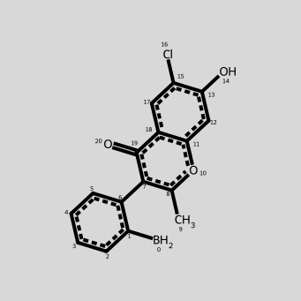 Bc1ccccc1-c1c(C)oc2cc(O)c(Cl)cc2c1=O